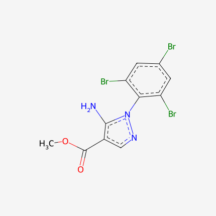 COC(=O)c1cnn(-c2c(Br)cc(Br)cc2Br)c1N